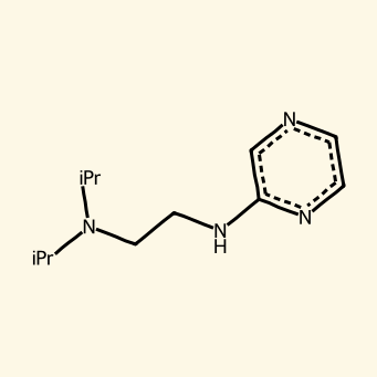 CC(C)N(CCNc1cnccn1)C(C)C